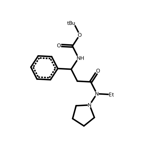 CCN(C(=O)CC(NC(=O)OC(C)(C)C)c1ccccc1)N1CCCC1